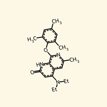 CCN(CC)c1cc(=O)[nH]c2c(Oc3c(C)cc(C)cc3C)nc(C)cc12